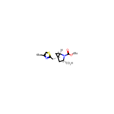 CC(C)(C)OC(=O)N1[C@H](C(=O)O)C[C@@]2(Cc3nc(C(C)(C)C)cs3)C[C@@H]12